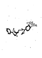 COc1ccc(C(=O)N=c2scc(-c3ccccc3)n2C)cc1OC